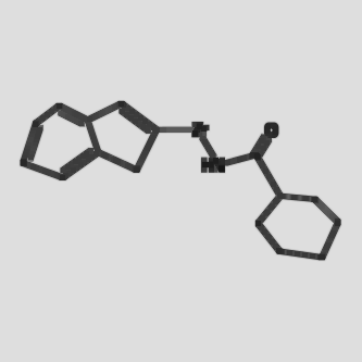 O=C([NH][Zr][C]1=Cc2ccccc2C1)C1CCCCC1